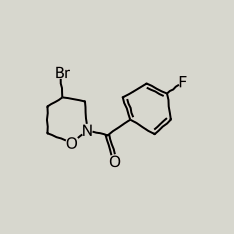 O=C(c1ccc(F)cc1)N1CC(Br)CCO1